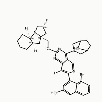 Oc1cc(-c2ncc3c(N4CC5CCC(C4)N5)nc(OC[C@@]45C[C@@H](F)CN4[C@@H]4CCCC[C@@H]4C5)nc3c2F)c2c(Br)cccc2c1